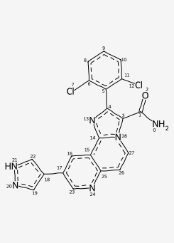 NC(=O)c1c(-c2c(Cl)cccc2Cl)nc2c3cc(-c4cn[nH]c4)cnc3ccn12